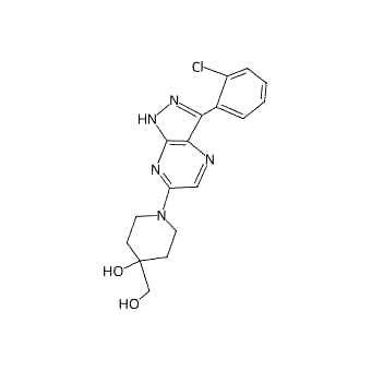 OCC1(O)CCN(c2cnc3c(-c4ccccc4Cl)n[nH]c3n2)CC1